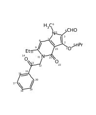 CCCOc1c(C=O)n(C)c2cc(CC)n(CC(=O)c3ccccc3)c(=O)c12